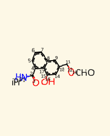 CC(C)NC(=O)c1cccc2cc(COC=O)cc(O)c12